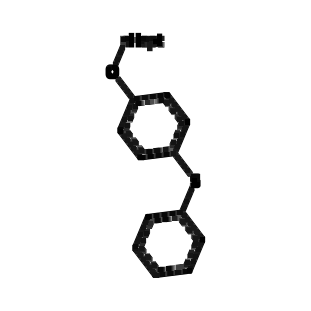 CCCCCCCOc1ccc(Sc2ccccc2)cc1